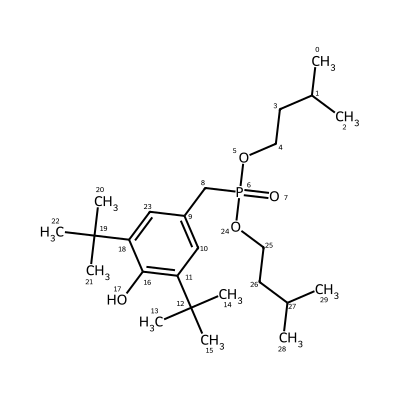 CC(C)CCOP(=O)(Cc1cc(C(C)(C)C)c(O)c(C(C)(C)C)c1)OCCC(C)C